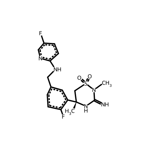 CN1C(=N)N[C@](C)(c2cc(CNc3ccc(F)cn3)ccc2F)CS1(=O)=O